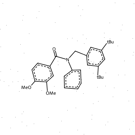 COc1ccc(C(=O)N(Cc2cc(C(C)(C)C)cc(C(C)(C)C)c2)c2ccccc2)cc1OC